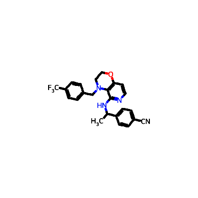 CC(Nc1nccc2c1N(Cc1ccc(C(F)(F)F)cc1)CCO2)c1ccc(C#N)cc1